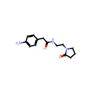 Nc1ccc(CC(=O)NCCN2CCCC2=O)cc1